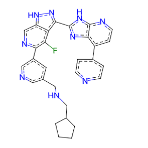 Fc1c(-c2cncc(CNCC3CCCC3)c2)ncc2[nH]nc(-c3nc4c(-c5ccncc5)ccnc4[nH]3)c12